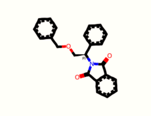 O=C1c2ccccc2C(=O)N1[C@@H](COCc1ccccc1)c1ccccc1